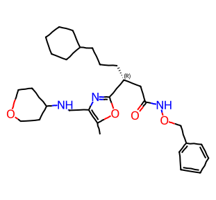 Cc1oc([C@H](CCCC2CCCCC2)CC(=O)NOCc2ccccc2)nc1CNC1CCOCC1